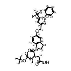 CN(C(=O)OC(C)(C)C)[C@H](CC(=O)O)C(=O)N1CCc2cc(OCc3cc(C(F)(F)F)n(-c4ccccc4)n3)ccc21